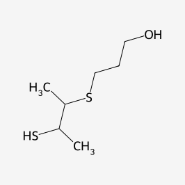 CC(S)C(C)SCCCO